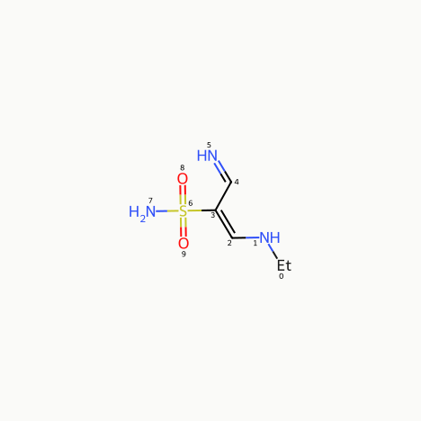 CCN/C=C(\C=N)S(N)(=O)=O